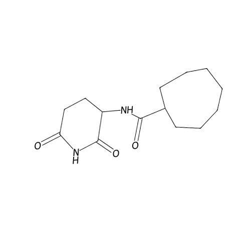 O=C1CCC(NC(=O)C2CCCCCCC2)C(=O)N1